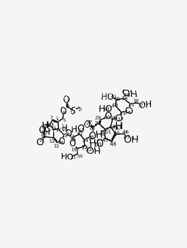 CSC(=O)OCC1=C[C@@H]2OC(=O)C3=CO[C@@H](O[C@@H]4O[C@H](CO)[C@@H](O)[C@H](OC(=O)C5=CO[C@@H](O[C@@H]6O[C@H](CO)[C@@H](O)[C@H](O)[C@H]6O)[C@@H]6C(CO)=C[C@H](O)[C@H]56)[C@H]4O)[C@H]1[C@@H]32